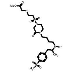 CCN(CCCCN1CCN(S(=O)(=O)CCNCC(=O)OC)CC1=O)C(C)Cc1ccc(S(C)(=O)=O)cc1